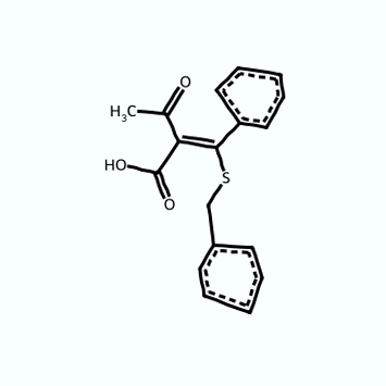 CC(=O)C(C(=O)O)=C(SCc1ccccc1)c1ccccc1